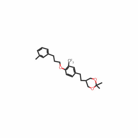 Cc1cccc(CCCOc2ccc(CCC3COC(C)(C)OC3)cc2C(F)(F)F)c1